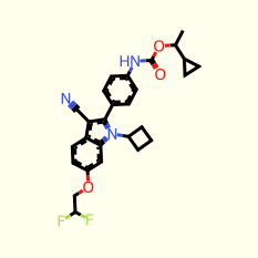 CC(OC(=O)Nc1ccc(-c2c(C#N)c3ccc(OCC(F)F)cc3n2C2CCC2)cc1)C1CC1